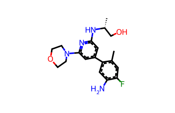 Cc1cc(F)c(N)cc1-c1cc(N[C@H](C)CO)nc(N2CCOCC2)c1